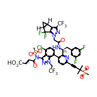 CC(C)(C#Cc1ccc(-c2ccc(Cl)c3c(N(C(=O)/C=C/C(=O)O)S(C)(=O)=O)nn(CC(F)(F)F)c23)c([C@H](Cc2cc(F)cc(F)c2)NC(=O)Cn2nc(C(F)(F)F)c3c2C(F)(F)[C@@H]2C[C@H]32)n1)S(C)(=O)=O